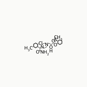 Cc1ccc(Cl)c(C(C(N)=O)N2CCN(CC(O)COc3ccccc3[S+](C)[O-])CC2)c1